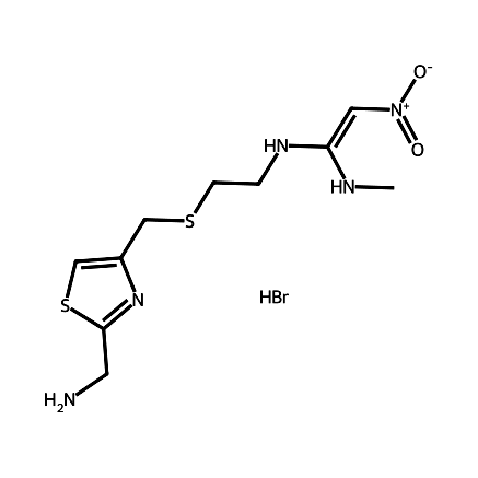 Br.CNC(=C[N+](=O)[O-])NCCSCc1csc(CN)n1